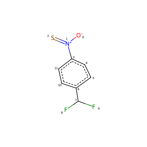 [O-][N+](=S)c1ccc(C(F)F)cc1